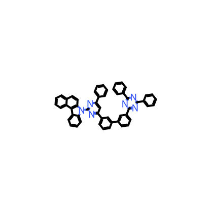 c1ccc(-c2cc(-c3cccc(-c4cccc(-c5nc(-c6ccccc6)nc(-c6ccccc6)n5)c4)c3)nc(-n3c4ccccc4c4c5ccccc5ccc43)n2)cc1